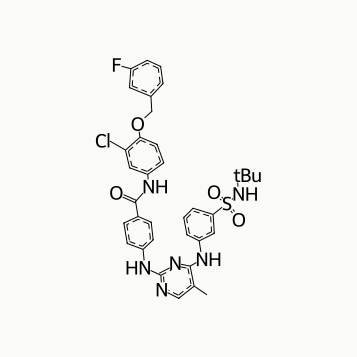 Cc1cnc(Nc2ccc(C(=O)Nc3ccc(OCc4cccc(F)c4)c(Cl)c3)cc2)nc1Nc1cccc(S(=O)(=O)NC(C)(C)C)c1